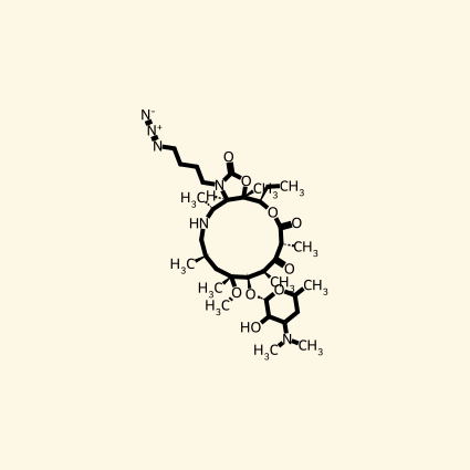 CC[C@H]1OC(=O)[C@H](C)C(=O)[C@@H](C)[C@@H](O[C@@H]2OC(C)CC(N(C)C)C2O)[C@](C)(OC)C[C@@H](C)CN[C@H](C)[C@H]2N(CCCCN=[N+]=[N-])C(=O)O[C@]12C